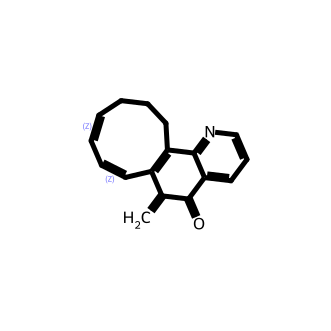 C=C1C(=O)c2cccnc2C2=C1/C=C\C=C/CCC2